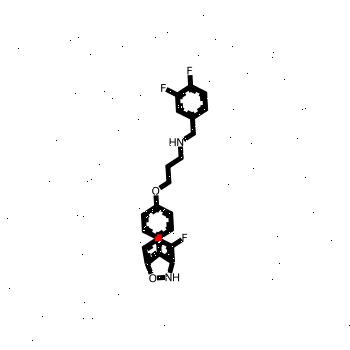 Fc1ccc(CNCCCOc2ccc(-c3c4ccc(F)c3NO4)cc2)cc1F